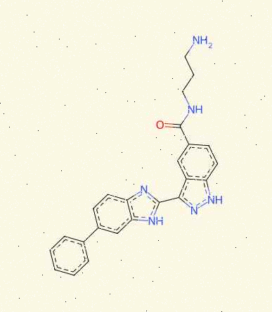 NCCCNC(=O)c1ccc2[nH]nc(-c3nc4ccc(-c5ccccc5)cc4[nH]3)c2c1